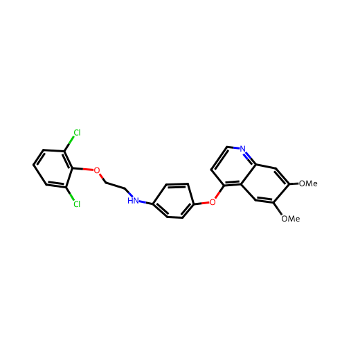 COc1cc2nccc(Oc3ccc(NCCOc4c(Cl)cccc4Cl)cc3)c2cc1OC